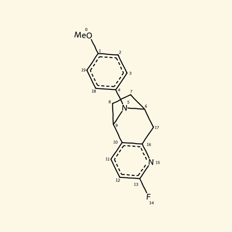 COc1ccc(N2C3CCC2c2ccc(F)nc2C3)cc1